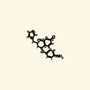 Nc1ccc(OC(CCCn2ccnc2)c2ccc(Cl)cc2Cl)cc1